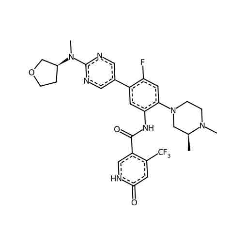 C[C@H]1CN(c2cc(F)c(-c3cnc(N(C)[C@H]4CCOC4)nc3)cc2NC(=O)c2c[nH]c(=O)cc2C(F)(F)F)CCN1C